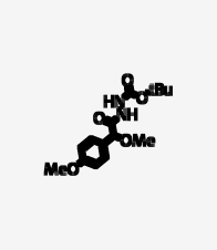 COc1ccc(C(OC)C(=O)NNC(=O)OC(C)(C)C)cc1